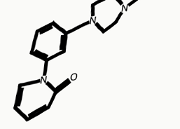 CCN1CCN(c2[c]ccc(-n3ccccc3=O)c2)CC1